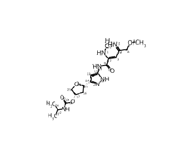 CN/C(=C\C(=N)COC)C(=O)Nc1cc([C@@H]2C[C@H](OC(=O)NC(C)C)CO2)n[nH]1